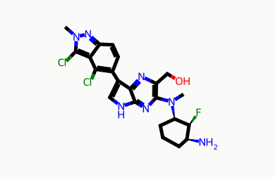 CN(c1nc2[nH]cc(-c3ccc4nn(C)c(Cl)c4c3Cl)c2nc1CO)[C@@H]1CCC[C@H](N)[C@@H]1F